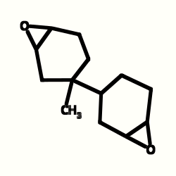 CC1(C2CCC3OC3C2)CCC2OC2C1